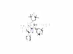 CCCCCCCC(NC1CC(C)(C)N(C)C(C)(C)C1)N(/C(=N/C(=N)N1CCOCC1)NC)C1CC(C)(C)N(C)C(C)(Cl)C1